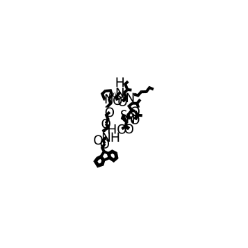 CCCCCCN(C(=O)C(NC(=O)[C@H]1CCCCN1CCOCCOCCNC(=O)OCC1c2ccccc2-c2ccccc21)C(C)CC)C(CC(OC(C)=O)c1nc(C(=O)O)cs1)C(C)C